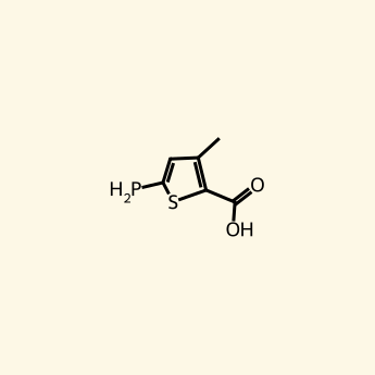 Cc1cc(P)sc1C(=O)O